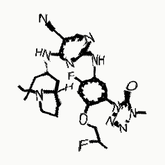 CC(F)COc1cc(F)c(Nc2ncc(C#N)c(N[C@@H]3C[C@@H]4CCCN4C(C)(C)C3)n2)cc1-n1nnn(C)c1=O